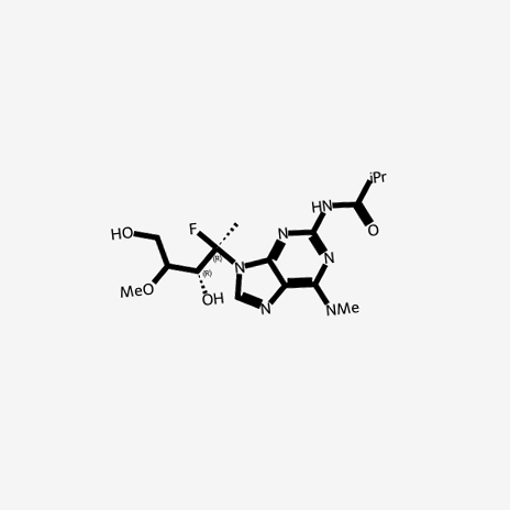 CNc1nc(NC(=O)C(C)C)nc2c1ncn2[C@](C)(F)[C@H](O)C(CO)OC